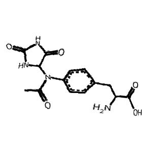 CC(=O)N(c1ccc(CC(N)C(=O)O)cc1)C1NC(=O)NC1=O